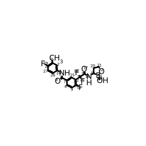 Cc1cc(NC(=O)c2ccc(F)c(C(F)(F)C(=O)NC3CCOB3O)c2)ccc1F